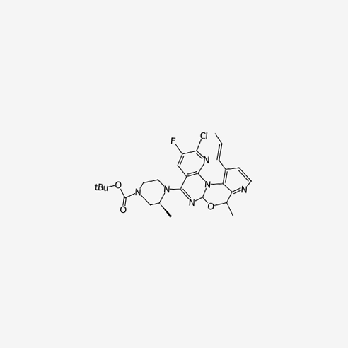 C/C=C/c1ccnc2c1N1c3nc(Cl)c(F)cc3C(N3CCN(C(=O)OC(C)(C)C)C[C@@H]3C)=NC1OC2C